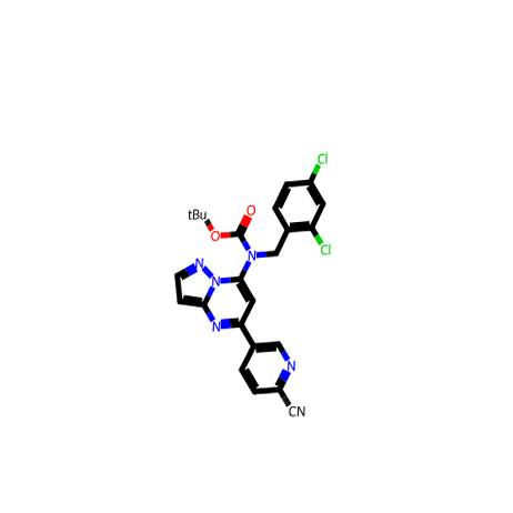 CC(C)(C)OC(=O)N(Cc1ccc(Cl)cc1Cl)c1cc(-c2ccc(C#N)nc2)nc2ccnn12